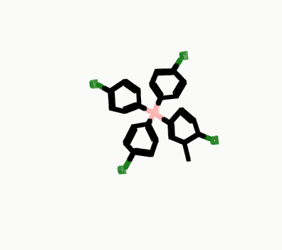 CC1C=C([B-](c2ccc(Cl)cc2)(c2ccc(Cl)cc2)c2ccc(Cl)cc2)C=CC1Cl